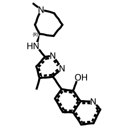 Cc1cc(N[C@@H]2CCCN(C)C2)nnc1-c1ccc2cccnc2c1O